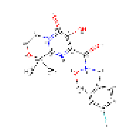 CON(Cc1ccc(F)cc1)C(=O)c1nc2n(c(=O)c1O)CCOC2(C)C